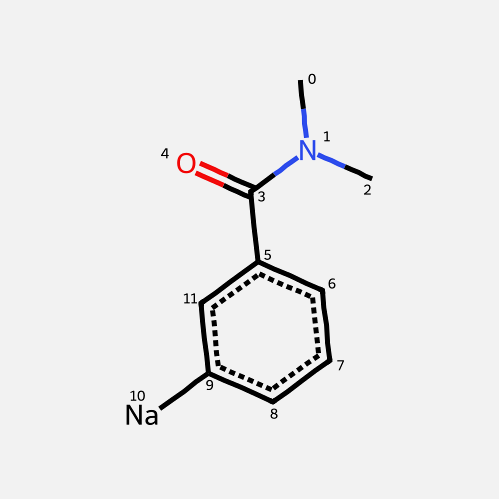 CN(C)C(=O)c1ccc[c]([Na])c1